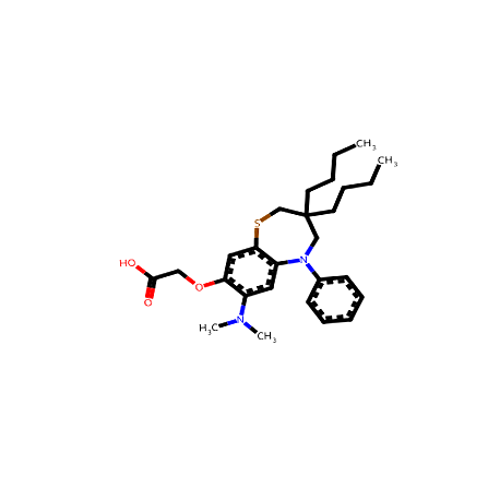 CCCCC1(CCCC)CSc2cc(OCC(=O)O)c(N(C)C)cc2N(c2ccccc2)C1